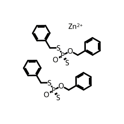 [O-]P(=S)(OCc1ccccc1)SCc1ccccc1.[O-]P(=S)(OCc1ccccc1)SCc1ccccc1.[Zn+2]